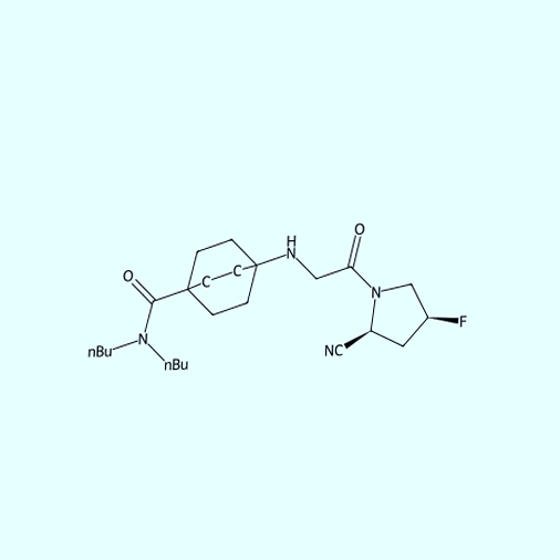 CCCCN(CCCC)C(=O)C12CCC(NCC(=O)N3C[C@@H](F)C[C@H]3C#N)(CC1)CC2